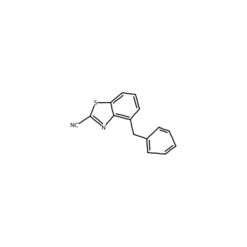 N#Cc1nc2c(Cc3ccccc3)cccc2s1